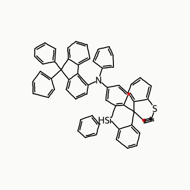 c1ccc(N(c2ccc3c(c2)[SiH](c2ccccc2)c2ccccc2C32c3ccccc3Sc3ccccc32)c2cccc3c2-c2ccccc2C3(c2ccccc2)c2ccccc2)cc1